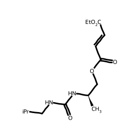 CCOC(=O)/C=C/C(=O)OC[C@@H](C)NC(=O)NCC(C)C